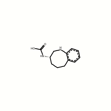 O=C(O)N[C@H]1CCCc2ccccc2NC1